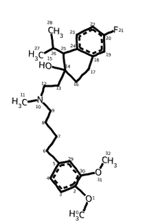 COc1ccc(CCCCN(C)CCC2(O)CCc3cc(F)ccc3C2C(C)C)cc1OC